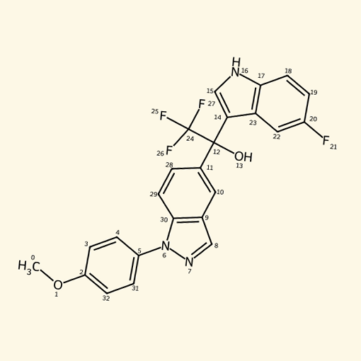 COc1ccc(-n2ncc3cc(C(O)(c4c[nH]c5ccc(F)cc45)C(F)(F)F)ccc32)cc1